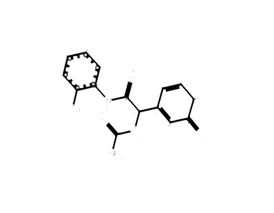 Cc1ccccc1NC(=O)C(OC(N)=O)C1=CC(=S)CC=C1